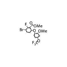 COC(=O)c1c(Oc2ccc(OC(F)(F)F)cc2OC)ccc(Br)c1F